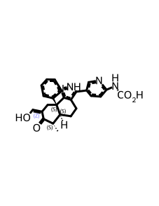 C[C@@H]1C(=O)/C(=C\O)C[C@]2(c3ccccc3)c3n[nH]c(-c4ccc(NC(=O)O)nc4)c3CC[C@@H]12